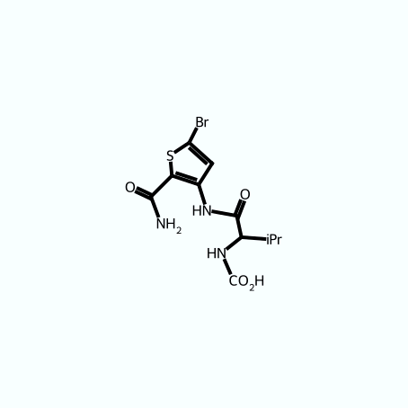 CC(C)C(NC(=O)O)C(=O)Nc1cc(Br)sc1C(N)=O